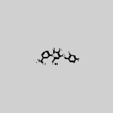 NC(=O)c1cccc(-n2c(CO)cc(OCc3ccc(F)cc3F)c(Br)c2=O)c1